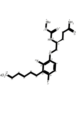 CC(C)(C)OC(=O)N[C@@H](CCC(N)=O)COc1ccc(F)c(CCCCCC(=O)O)c1F